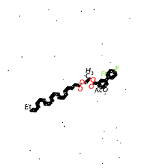 CC/C=C\C/C=C\C/C=C\C/C=C\C/C=C\C/C=C\CCC(=O)OCC(C)OC(=O)c1cc(-c2ccc(F)cc2F)ccc1OC(C)=O